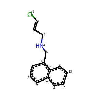 ClC=CCNCc1cccc2ccccc12